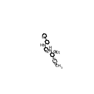 CCOc1cc(N2CCN(C)CC2)ccc1Nc1cc(Nc2cccc(-c3ccccn3)c2)ccn1